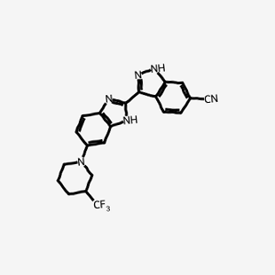 N#Cc1ccc2c(-c3nc4ccc(N5CCCC(C(F)(F)F)C5)cc4[nH]3)n[nH]c2c1